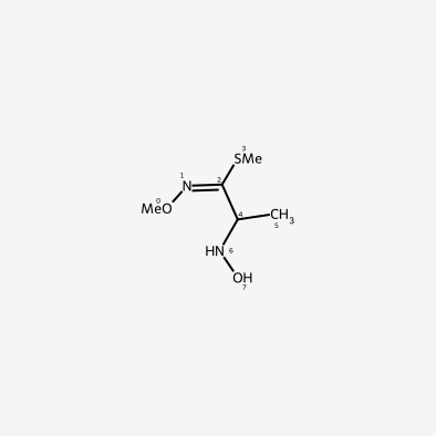 CON=C(SC)C(C)NO